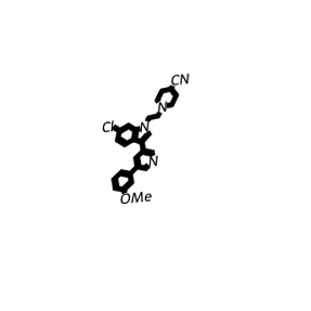 COc1cccc(-c2cncc(-c3cn(CCN4CCC(C#N)CC4)c4cc(Cl)ccc34)c2)c1